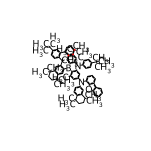 Cc1cc(C(C)(C)C)ccc1N1c2cc(C(C)(C)C)ccc2B(c2cc3c(cc2C(C)c2ccc(C(C)(C)C)cc2-c2ccccc2)C(C)(C)CCC3(C)C)c2c(C)cc(N(c3ccc4c(c3)C(C)(C)CCC4(C)C)c3cccc4c3oc3ccccc34)cc21